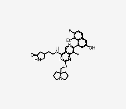 CCc1c(F)ccc2cc(O)cc(-c3ncc4c(NCCC5CNC(=O)C5)nc(OCC56CCCN5CCC6)nc4c3F)c12